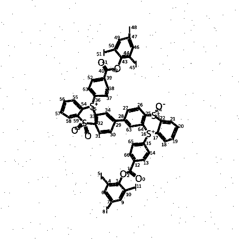 O=C(Oc1c(I)cc(I)cc1I)c1ccc([S+]2c3ccccc3[S+]([O-])c3ccc(-c4ccc5c(c4)[S+](c4ccc(C(=O)Oc6c(I)cc(I)cc6I)cc4)c4ccccc4S5(=O)=O)cc32)cc1